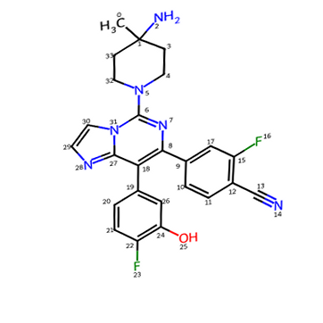 CC1(N)CCN(c2nc(-c3ccc(C#N)c(F)c3)c(-c3ccc(F)c(O)c3)c3nccn23)CC1